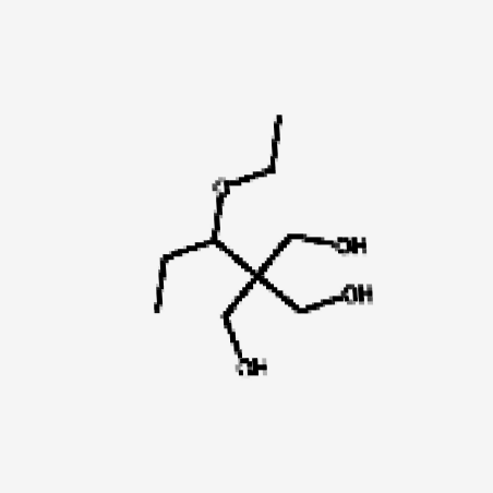 CCOC(CC)C(CO)(CO)CO